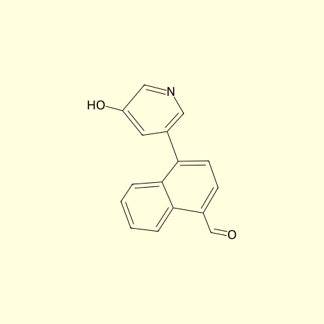 O=Cc1ccc(-c2cncc(O)c2)c2ccccc12